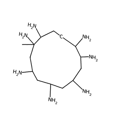 CC1(N)CC(N)CC(N)CC(N)CC(N)C(N)CCC1N